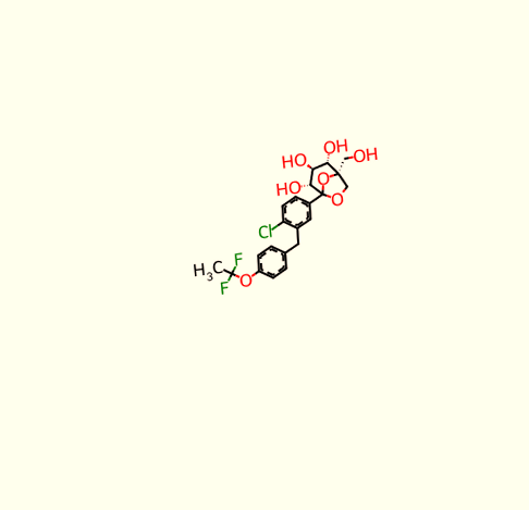 CC(F)(F)Oc1ccc(Cc2cc(C34OC[C@@](CO)(O3)[C@@H](O)[C@H](O)[C@H]4O)ccc2Cl)cc1